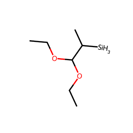 CCOC(OCC)C(C)[SiH3]